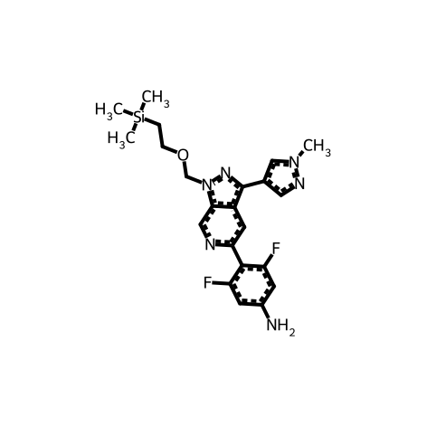 Cn1cc(-c2nn(COCC[Si](C)(C)C)c3cnc(-c4c(F)cc(N)cc4F)cc23)cn1